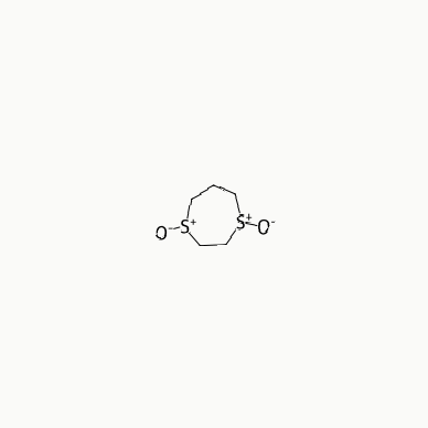 [O-][S+]1CCC[S+]([O-])CC1